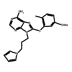 COc1ccc(I)c(Sc2nc3c(N)ncnc3n2CCCn2cccc2)c1